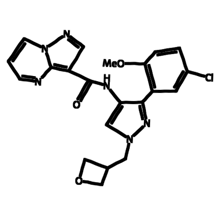 COc1ccc(Cl)cc1-c1nn(CC2COC2)cc1NC(=O)c1cnn2cccnc12